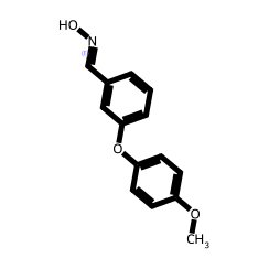 COc1ccc(Oc2cccc(/C=N/O)c2)cc1